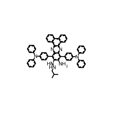 CC(C)CNNc1c(N)c(-c2ccc(N(c3ccccc3)c3ccccc3)cc2)c2nc3c4ccccc4c4ccccc4c3nc2c1-c1ccc(N(c2ccccc2)c2ccccc2)cc1